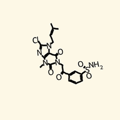 CC(C)=CCn1c(Cl)nc2c1c(=O)n(CC(=O)c1cccc(S(N)(=O)=O)c1)c(=O)n2C